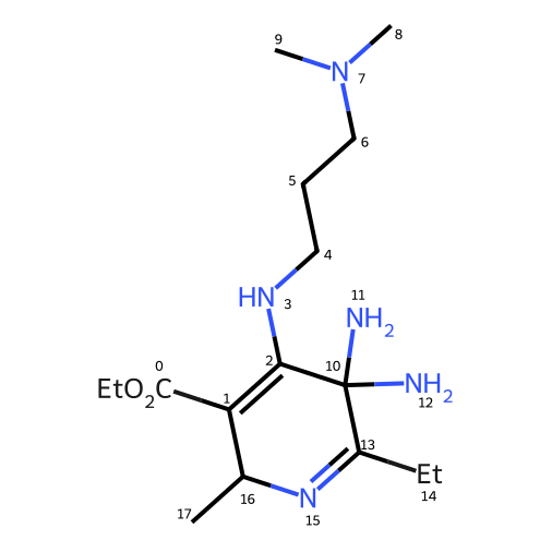 CCOC(=O)C1=C(NCCCN(C)C)C(N)(N)C(CC)=NC1C